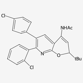 CC(=O)NC1=CC(C(C)(C)C)Oc2nc(-c3ccccc3Cl)c(-c3ccc(Cl)cc3)cc21